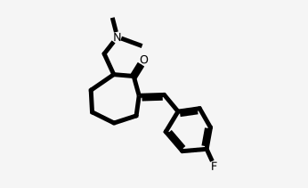 CN(C)CC1CCCCC(=Cc2ccc(F)cc2)C1=O